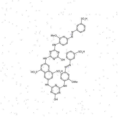 COc1cc(/N=N/c2cccc(S(=O)(=O)O)c2)ccc1Nc1nc(O)nc(Nc2cc(S(=O)(=O)O)c3cc(Nc4nc(O)nc(Nc5ccc(/N=N/c6cccc(S(=O)(=O)O)c6)cc5OC)n4)cc(S(=O)(=O)O)c3c2)n1